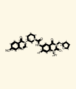 CC(C)n1c(=O)n(C[C@H]2CCCO2)c(=O)c2cc(NC(=O)N3CCC[C@@H](n4cnc5cc(C#N)ccc5c4=O)C3)c(F)cc21